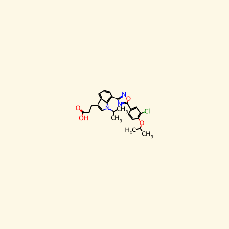 CC(C)Oc1ccc(-c2nc(-c3cccc4c(CCC(=O)O)cn(C(C)C)c34)no2)cc1Cl